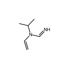 C=CN(C=N)C(C)C